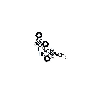 CCCS(=O)(=O)Oc1ccccc1NC(=O)Nc1ccccc1OS(=O)(=O)Cc1ccccc1